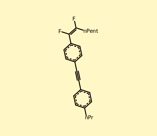 CCCCC/C(F)=C(/F)c1ccc(C#Cc2ccc(CCC)cc2)cc1